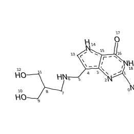 Nc1nc2c(CNCC(CO)CO)c[nH]c2c(=O)[nH]1